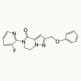 O=C1c2cc(COc3ccccc3)nn2CCN1c1ncccc1F